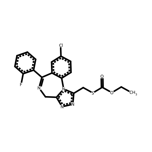 CCOC(=O)SCc1nnc2n1-c1ccc(Cl)cc1C(c1ccccc1F)=NC2